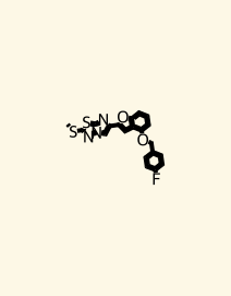 CSc1nn2cc(-c3cc4c(OCc5ccc(F)cc5)cccc4o3)nc2s1